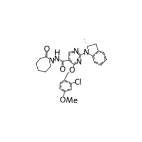 COc1ccc(COc2nc(N3c4ccccc4C[C@H]3C)ncc2C(=O)NN2CCCCCC2=O)c(Cl)c1